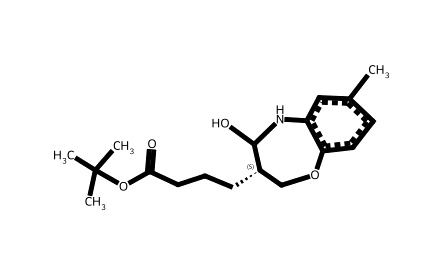 Cc1ccc2c(c1)NC(O)[C@@H](CCCC(=O)OC(C)(C)C)CO2